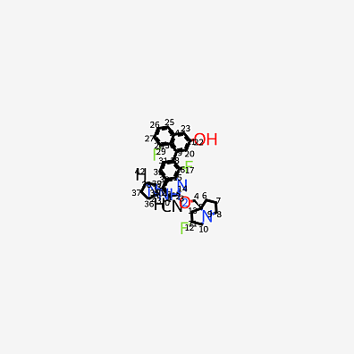 N#Cc1c(OC[C@@]23CCCN2C[C@H](F)C3)nc2c(F)c(-c3cc(O)cc4cccc(F)c34)ccc2c1N1C2C[C@H]1C[C@H]2N